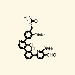 COc1cc(-c2nccc(-c3cccc(-c4ccc(C=O)c(OC)n4)c3Cl)c2Cl)ccc1COC(N)=O